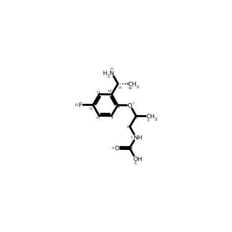 CC(CNC(=O)O)Oc1ccc(F)cc1[C@@H](C)N